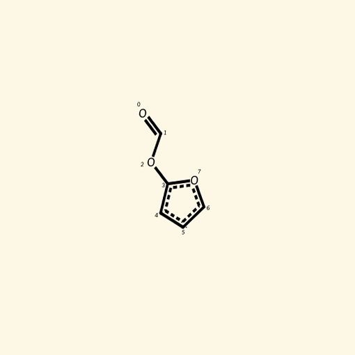 O=COc1c[c]co1